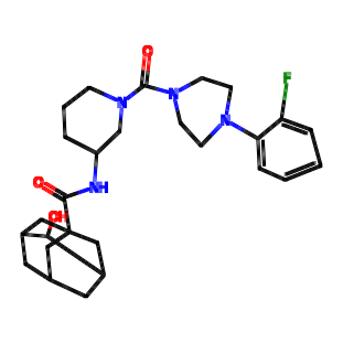 O=C(N1CCN(c2ccccc2F)CC1)N1CCCC(NC(=O)C23CC4CC(C2)C(O)C(C4)C3)C1